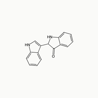 O=C1c2ccccc2NC1c1c[nH]c2ccccc12